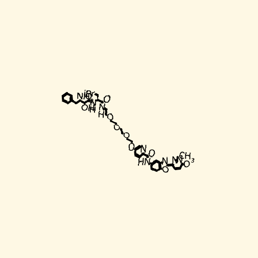 CC(C)C[C@H](NC(=O)[C@@H](O)[C@H](N)Cc1ccccc1)C(=O)NCCOCCOCCOCCOc1ccc(C(=O)Nc2ccc3oc(-c4ccc(=O)n(C)n4)nc3c2)nc1